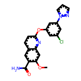 COc1cc2nc(Oc3cc(Cl)cc(-n4cccn4)c3)ccc2cc1C(N)=O